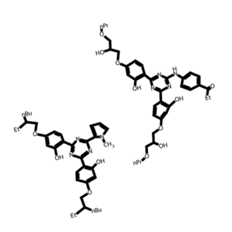 CCCCC(CC)COc1ccc(-c2nc(-c3ccc(OCC(CC)CCCC)cc3O)nc(-c3cccn3C)n2)c(O)c1.CCCOCC(O)COc1ccc(-c2nc(Nc3ccc(C(=O)CC)cc3)nc(-c3ccc(OCC(O)COCCC)cc3O)n2)c(O)c1